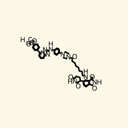 CS(=O)(=O)c1ccc(-c2cccc3nc(Nc4ccc(N5CCN(C(=O)CCCCCCCNc6c(C7CCC(=O)NC7=O)ccc7c6C(=O)NC7=O)CC5)cc4)nn23)cc1